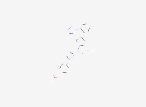 O=C(O)Nc1ccc(-c2cnc(C3CC(O)c4cc(-c5cc(Cl)ccc5-n5cnnn5)cnc43)[nH]2)cc1